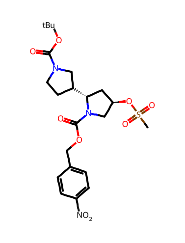 CC(C)(C)OC(=O)N1CCC([C@@H]2C[C@@H](OS(C)(=O)=O)CN2C(=O)OCc2ccc([N+](=O)[O-])cc2)C1